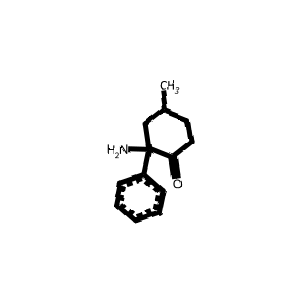 CC1CCC(=O)C(N)(c2ccccc2)C1